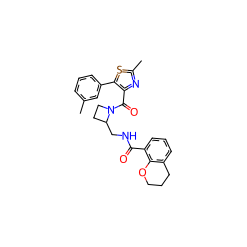 Cc1cccc(-c2sc(C)nc2C(=O)N2CCC2CNC(=O)c2cccc3c2OCCC3)c1